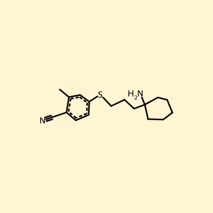 Cc1cc(SCCCC2(N)CCCCC2)ccc1C#N